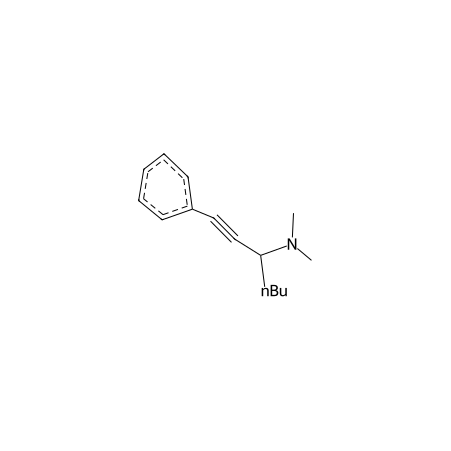 CCCCC(C#Cc1ccccc1)N(C)C